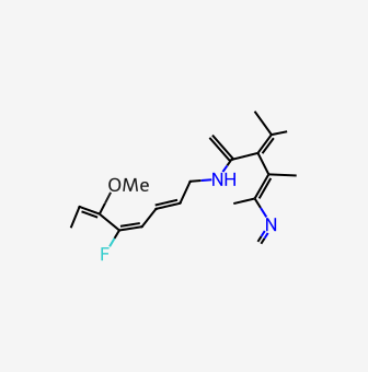 C=N/C(C)=C(\C)C(C(=C)NC/C=C/C=C(F)\C(=C/C)OC)=C(C)C